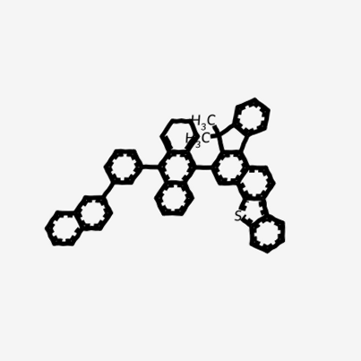 CC1(C)c2ccccc2-c2c1c(-c1c3c(c(-c4cccc(-c5ccc6ccccc6c5)c4)c4ccccc14)=CCCC=3)cc1c2ccc2c3ccccc3sc12